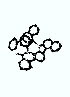 O=c1c2ccccc2c2ccc3c4c5ccccc5ccc4n(-c4nc(-c5ccccc5)nc5ccccc45)c3c2n1-c1ccccc1